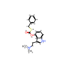 CN(C)CCc1c[nH]c2cccc(OC(=O)SCc3ccccc3)c12